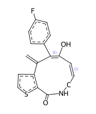 C=C1/C(c2ccc(F)cc2)=C(O)\C=C/CNC(=O)c2sccc21